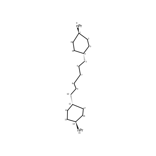 CCC[C@H]1CC[C@H](CCCCCC[C@H]2CC[C@H](CCC)CC2)CC1